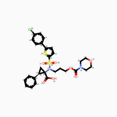 O=C(OCCCN([C@]1(C(=O)O)C[C@@H]1c1ccccc1)S(=O)(=O)c1ccc(-c2ccc(Cl)cc2)s1)N1CCOCC1